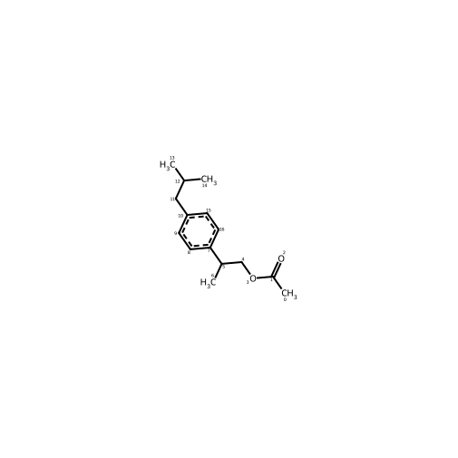 CC(=O)OCC(C)c1ccc(CC(C)C)cc1